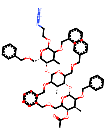 CC(=O)O[C@H]1C(COCc2ccccc2)O[C@H](O[C@H]2C(COCc3ccccc3)O[C@@H](O[C@H]3C(C)C(OCc4ccccc4)[C@H](OCCN=[N+]=[N-])O[C@H]3COCc3ccccc3)C(OCc3ccccc3)[C@H]2C)C(OCc2ccccc2)[C@H]1C